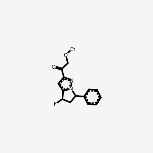 CCOCC(=O)c1cc2n(n1)C(c1ccccc1)CC2F